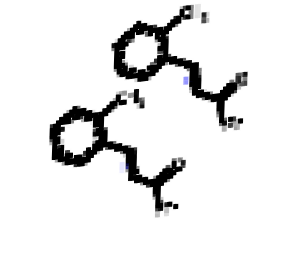 CCCC(=O)/C=C/c1ccccc1C.CCCC(=O)/C=C/c1ccccc1C